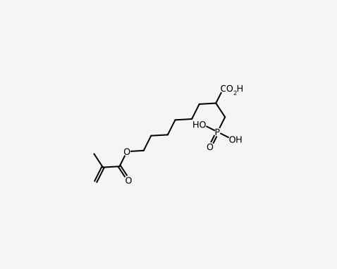 C=C(C)C(=O)OCCCCCCC(CP(=O)(O)O)C(=O)O